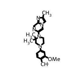 [CH]c1ccc(N2CCN(c3cn4cc(C)nc4cn3)C(C)(C)C2)cc1OC